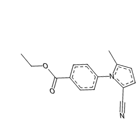 CCOC(=O)c1ccc(-n2c(C)ccc2C#N)cc1